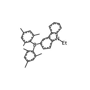 CCn1c2ccccc2c2cc(B(c3c(C)cc(C)cc3C)c3c(C)cc(C)cc3C)ccc21